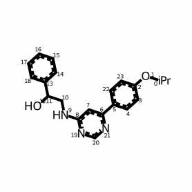 CC(C)Oc1ccc(-c2cc(NCC(O)c3ccccc3)ncn2)cc1